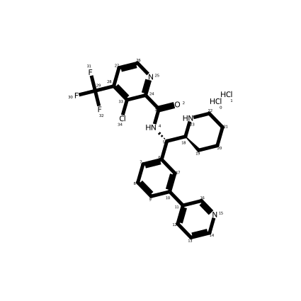 Cl.Cl.O=C(N[C@@H](c1cccc(-c2cccnc2)c1)[C@@H]1CCCCN1)c1nccc(C(F)(F)F)c1Cl